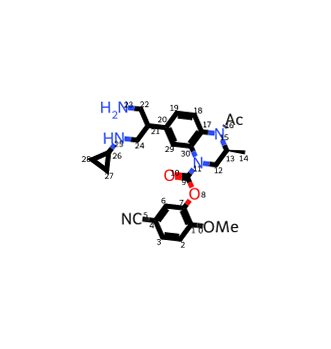 COc1ccc(C#N)cc1OC(=O)N1C[C@H](C)N(C(C)=O)c2ccc(C(CN)CNC3CC3)cc21